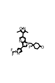 Cc1noc(C)c1-c1cnc2c(-c3cnn(C(F)F)c3)cn(CC3(F)CCC(=O)CC3)c2c1